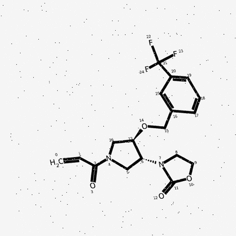 C=CC(=O)N1C[C@@H](N2CCOC2=O)[C@H](OCc2cccc(C(F)(F)F)c2)C1